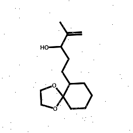 C=C(C)C(O)CCC1CCCCC12OCCO2